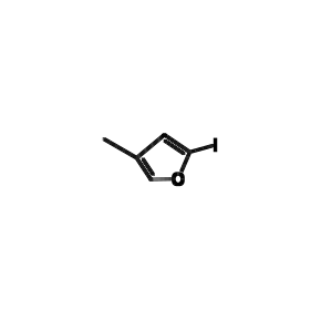 Cc1coc(I)c1